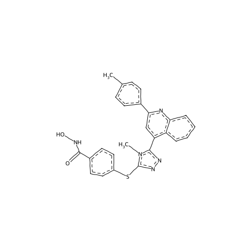 Cc1ccc(-c2cc(-c3nnc(Sc4ccc(C(=O)NO)cc4)n3C)c3ccccc3n2)cc1